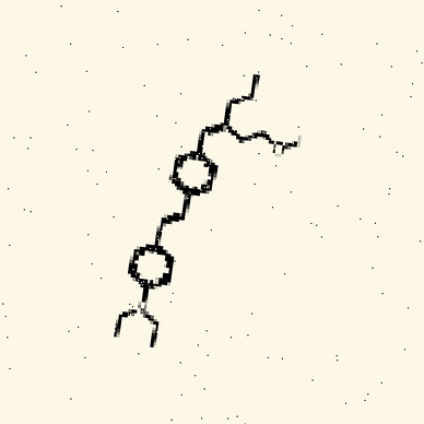 CCC/C(=C/c1ccc(/C=C/c2ccc(N(CC)CC)cc2)cc1)CCOI